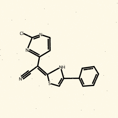 N#CC(=C1NC(c2ccccc2)=CS1)c1ccnc(Cl)n1